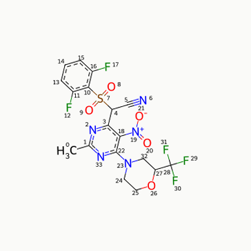 Cc1nc(C(C#N)S(=O)(=O)c2c(F)cccc2F)c([N+](=O)[O-])c(N2CCOC(C(F)(F)F)C2)n1